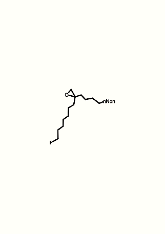 CCCCCCCCCCCCCC1(CCCCCCCF)CO1